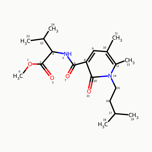 COC(=O)C(NC(=O)c1cc(C)c(C)n(CCC(C)C)c1=O)C(C)C